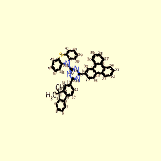 CC1(C)c2ccccc2-c2ccc(-c3nc(-c4ccc5c6ccccc6c6ccccc6c5c4)nc(N4c5ccccc5Sc5ccccc54)n3)cc21